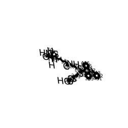 O=C(CCCCC1SC[C@H]2NC(=O)N[C@@H]12)NCCCSC(SCCCSOOO)=C1c2ccccc2N(Cc2ccccc2)c2ccccc21